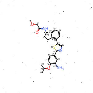 COCC(=O)N[C@@H]1CCc2c(-c3cnc(-c4ccc(OC(C)C)c(N)c4)s3)cccc21